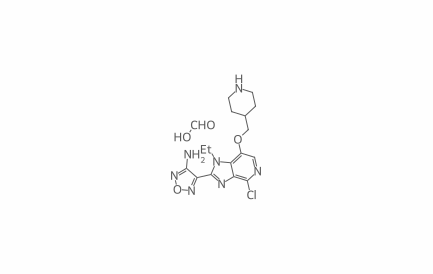 CCn1c(-c2nonc2N)nc2c(Cl)ncc(OCC3CCNCC3)c21.O=CO